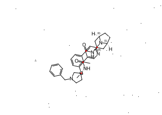 COc1cccc(C(=O)N[C@H]2C[C@H]3CC[C@@H](C2)N3c2ccc(C(=O)N[C@@H]3CCN(Cc4ccccc4)C3)cn2)c1C